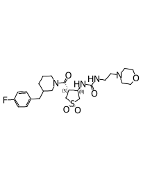 O=C(NCCN1CCOCC1)N[C@H]1CS(=O)(=O)C[C@@H]1C(=O)N1CCCC(Cc2ccc(F)cc2)C1